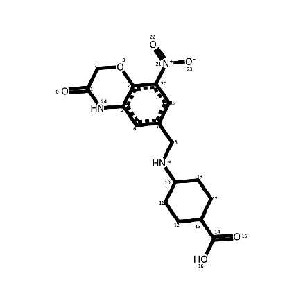 O=C1COc2c(cc(CNC3CCC(C(=O)O)CC3)cc2[N+](=O)[O-])N1